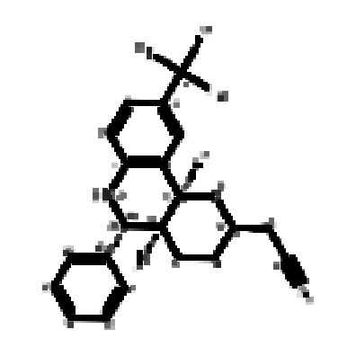 N#CC[C@H]1CC[C@@H]2[C@H](O1)c1cc(C(F)(F)F)ccc1N[C@H]2c1ccccc1